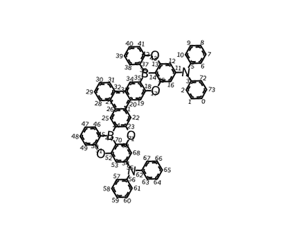 c1ccc(N(c2ccccc2)c2cc3c4c(c2)Oc2cc5c6cc7c(cc6c6ccccc6c5cc2B4c2ccccc2O3)B2c3ccccc3Oc3cc(N(c4ccccc4)c4ccccc4)cc(c32)O7)cc1